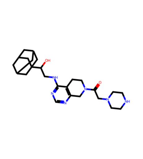 O=C(CN1CCNCC1)N1CCc2c(ncnc2NCC(O)C23CC4CC(CC(C4)C2)C3)C1